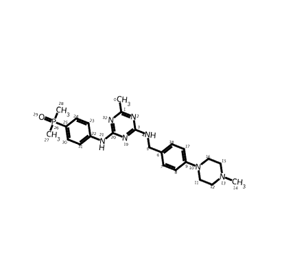 Cc1nc(NCc2ccc(N3CCN(C)CC3)cc2)nc(Nc2ccc(P(C)(C)=O)cc2)n1